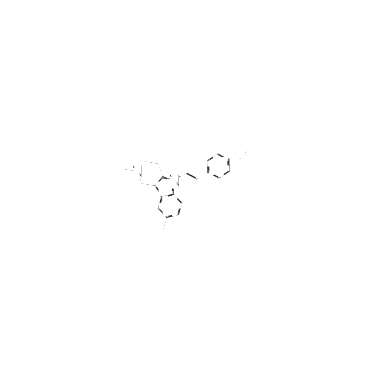 COc1ccc(C=Cn2c3c(c4cc(C)ccc42)CN(C)CC3)cc1